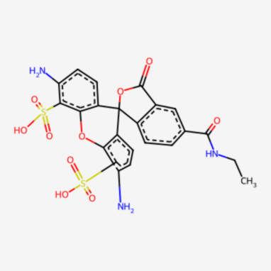 CCNC(=O)c1ccc2c(c1)C(=O)OC21c2ccc(N)c(S(=O)(=O)O)c2Oc2c1ccc(N)c2S(=O)(=O)O